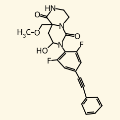 COCC12CC(O)N(c3c(F)cc(C#Cc4ccccc4)cc3F)C(=O)N1CCNC2=O